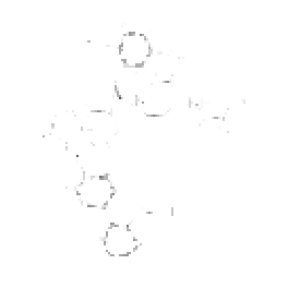 COc1ccccc1-c1cc(=O)n(C[C@@H]2CCN(C(=O)N3CC[C@@H](NCC(F)F)C[C@H]3c3cc(F)ccc3F)CC23CCCC3)cn1